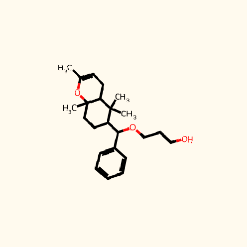 CC1=CCC2C(C)(CCC(C(OCCCO)c3ccccc3)C2(C)C)O1